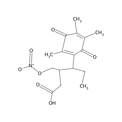 CCC(C1=C(C)C(=O)C(C)=C(C)C1=O)C(CO[N+](=O)[O-])CC(=O)O